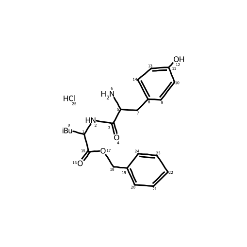 CCC(C)C(NC(=O)C(N)Cc1ccc(O)cc1)C(=O)OCc1ccccc1.Cl